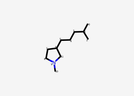 CC(C)CCCC1CCN(C)C1